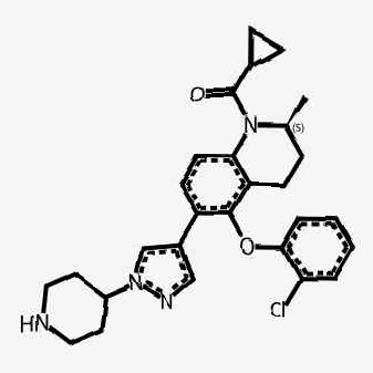 C[C@H]1CCc2c(ccc(-c3cnn(C4CCNCC4)c3)c2Oc2ccccc2Cl)N1C(=O)C1CC1